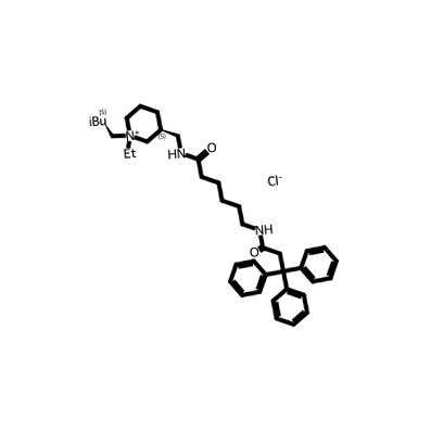 CC[C@H](C)C[N+]1(CC)CCC[C@@H](CNC(=O)CCCCCNC(=O)CC(c2ccccc2)(c2ccccc2)c2ccccc2)C1.[Cl-]